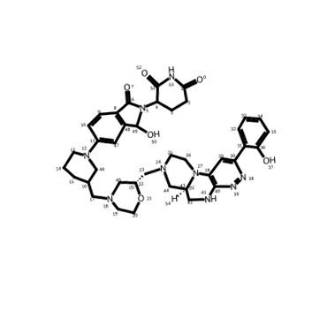 O=C1CCC(N2C(=O)c3ccc(N4CCCC(CN5CCO[C@@H](CN6CCN7c8cc(-c9ccccc9O)nnc8NC[C@H]7C6)C5)C4)cc3C2O)C(=O)N1